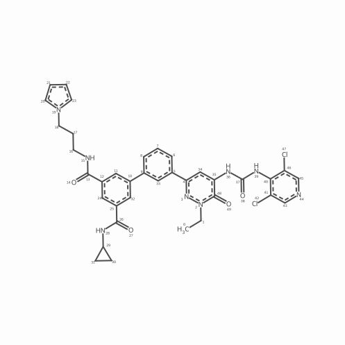 CCn1nc(-c2cccc(-c3cc(C(=O)NCCCn4cccc4)cc(C(=O)NC4CC4)c3)c2)cc(NC(=O)Nc2c(Cl)cncc2Cl)c1=O